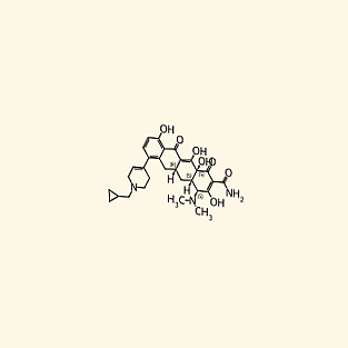 CN(C)[C@@H]1C(O)=C(C(N)=O)C(=O)[C@@]2(O)C(O)=C3C(=O)c4c(O)ccc(C5=CCN(CC6CC6)CC5)c4C[C@H]3C[C@@H]12